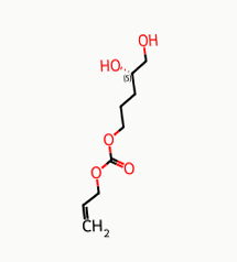 C=CCOC(=O)OCCC[C@H](O)CO